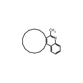 Cc1nc2ccccc2c2c1CCCCCCCCCCCC2